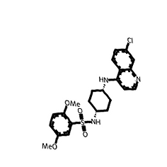 COc1ccc(OC)c(S(=O)(=O)N[C@H]2CC[C@@H](Nc3ccnc4cc(Cl)ccc34)CC2)c1